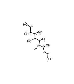 O=C(C(O)CCO)[C@H](O)[C@@H](O)[C@H](O)[C@H](O)CO